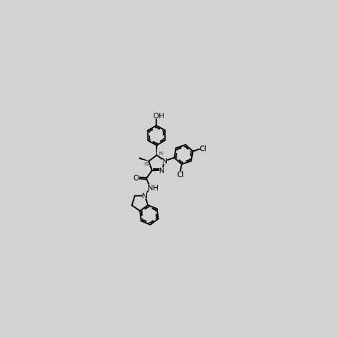 C[C@@H]1C(C(=O)NN2CCc3ccccc32)=NN(c2ccc(Cl)cc2Cl)[C@@H]1c1ccc(O)cc1